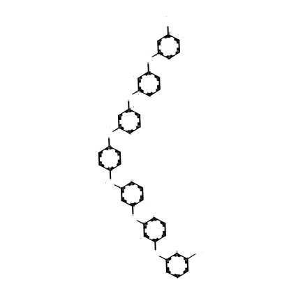 Fc1cccc(Oc2cccc(Oc3cccc(Oc4ccc(Oc5cccc(Oc6cccc(Oc7cccc(F)c7)c6)c5)cc4)c3)c2)c1